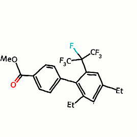 CCc1[c]c(CC)c(-c2ccc(C(=O)OC)cc2)c(C(F)(C(F)(F)F)C(F)(F)F)c1